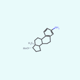 CO[C@H]1CCC2C3CCc4cc(N)ccc4C3CC[C@@]21C